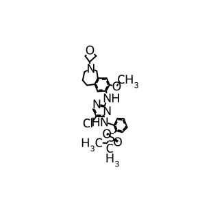 COc1cc2c(cc1Nc1ncc(Cl)c(Nc3ccccc3S(=O)(=O)C(C)C)n1)CCCN(C1COC1)C2